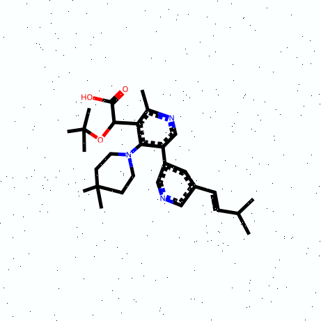 Cc1ncc(-c2cncc(C=CC(C)C)c2)c(N2CCC(C)(C)CC2)c1C(OC(C)(C)C)C(=O)O